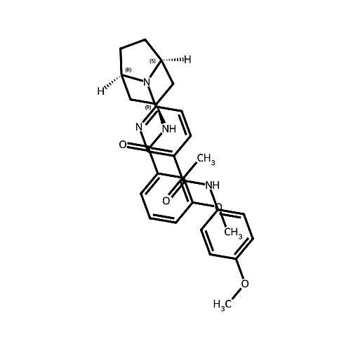 COc1ccc(NC(=O)c2ccc(N3[C@@H]4CC[C@H]3C[C@@H](NC(=O)c3cccc(OC)c3C)C4)nc2)cc1